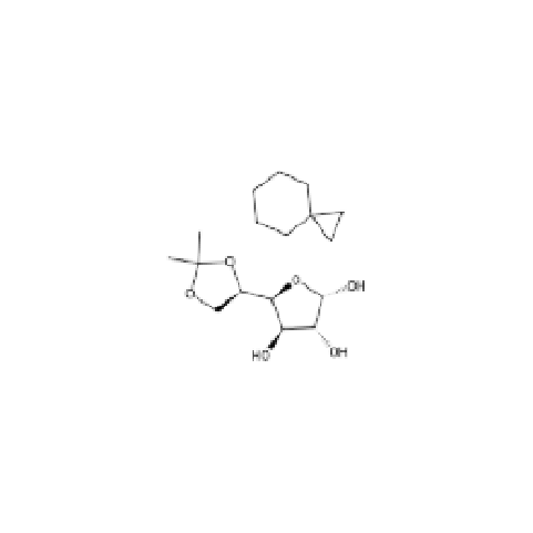 C1CCC2(CC1)CC2.CC1(C)OC[C@H]([C@H]2O[C@H](O)[C@H](O)[C@H]2O)O1